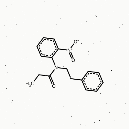 CCC(=O)N(CCc1ccccc1)c1ccccc1[N+](=O)[O-]